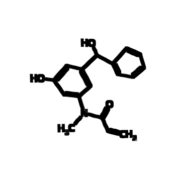 C=CC(=O)N(C)c1cc(O)cc(C(O)c2ccccc2)c1